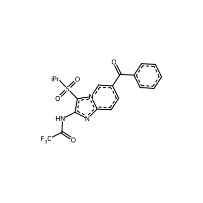 CC(C)S(=O)(=O)c1c(NC(=O)C(F)(F)F)nc2ccc(C(=O)c3ccccc3)cn12